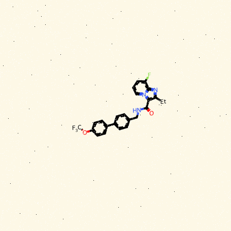 CCc1nc2c(F)cccn2c1C(=O)NCc1ccc(-c2ccc(OC(F)(F)F)cc2)cc1